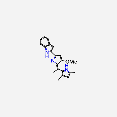 COC1=CC(c2cc3ccccc3[nH]2)=NC1=C(C)c1[nH]c(C)cc1C